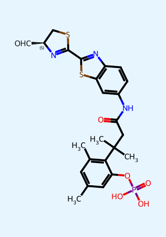 Cc1cc(C)c(C(C)(C)CC(=O)Nc2ccc3nc(C4=N[C@@H](C=O)CS4)sc3c2)c(OP(=O)(O)O)c1